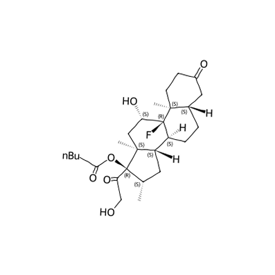 CCCCC(=O)O[C@]1(C(=O)CO)[C@@H](C)C[C@H]2[C@@H]3CC[C@H]4CC(=O)CC[C@]4(C)[C@@]3(F)[C@@H](O)C[C@@]21C